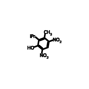 Cc1c([N+](=O)[O-])cc([N+](=O)[O-])c(O)c1C(C)C